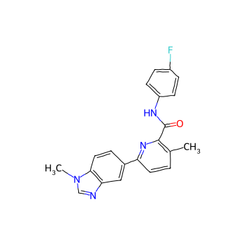 Cc1ccc(-c2ccc3c(c2)ncn3C)nc1C(=O)Nc1ccc(F)cc1